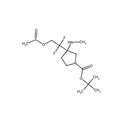 CNC1(C(F)(F)COS(C)=O)CCN(C(=O)OC(C)(C)C)C1